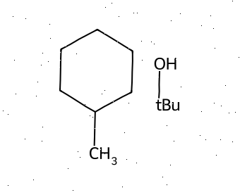 CC(C)(C)O.CC1CCCCC1